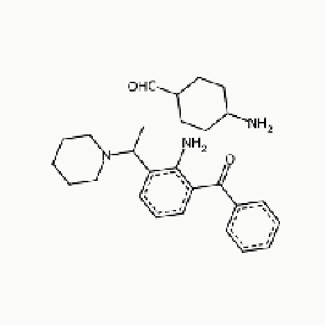 CC(c1cccc(C(=O)c2ccccc2)c1N)N1CCCCC1.NC1CCC(C=O)CC1